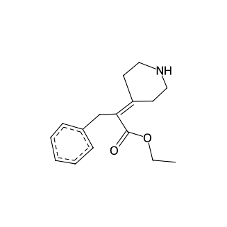 CCOC(=O)C(Cc1ccccc1)=C1CCNCC1